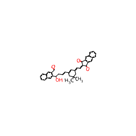 CC1(C)CC(/C=C/CC(O)c2cc3ccccc3cc2C=O)=CC(=C/C=C2C(=O)c3cc4ccccc4cc3C2=O)/C1